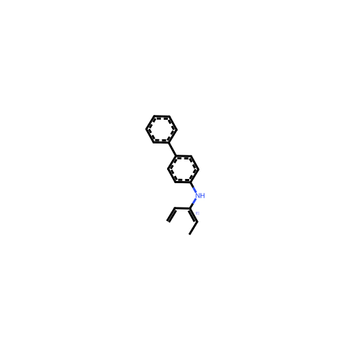 C=C/C(=C\C)Nc1ccc(-c2ccccc2)cc1